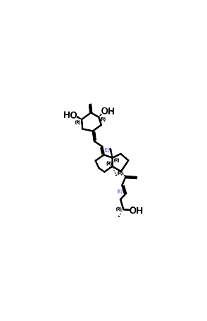 C=C1[C@H](O)CC(=C/C=C2\CCC[C@]3(C)[C@@H](C(=C)/C=C/C[C@@H](C)O)CC[C@@]23C)C[C@H]1O